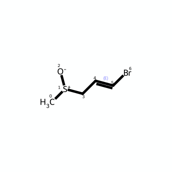 C[S+]([O-])C/C=C/Br